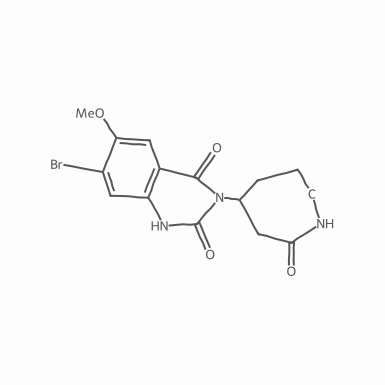 COc1cc2c(=O)n(C3CCCNC(=O)C3)c(=O)[nH]c2cc1Br